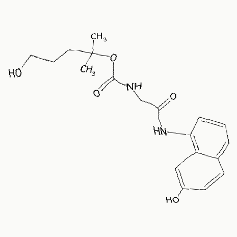 CC(C)(CCCO)OC(=O)NCC(=O)Nc1cccc2ccc(O)cc12